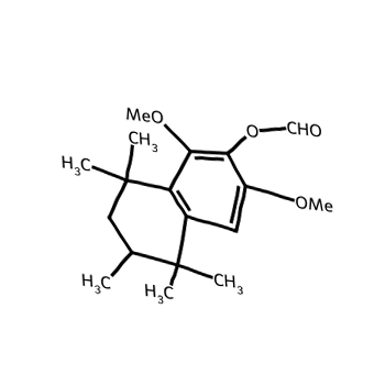 COc1cc2c(c(OC)c1OC=O)C(C)(C)CC(C)C2(C)C